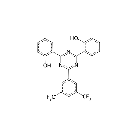 Oc1ccccc1-c1nc(-c2cc(C(F)(F)F)cc(C(F)(F)F)c2)nc(-c2ccccc2O)n1